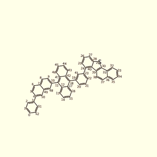 c1ccc(-c2ccc3ccc(-c4c5ccccc5c(-c5cccc(-c6cccc7sc8c9ccccc9ccc8c67)c5)c5ccccc45)cc3c2)cc1